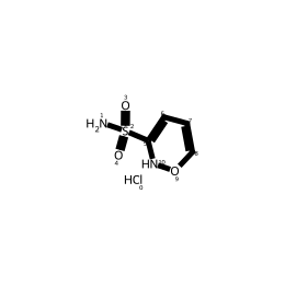 Cl.NS(=O)(=O)C1=CC=CON1